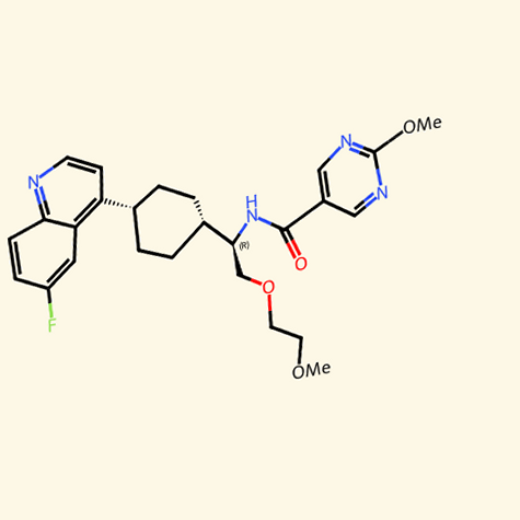 COCCOC[C@H](NC(=O)c1cnc(OC)nc1)[C@H]1CC[C@@H](c2ccnc3ccc(F)cc32)CC1